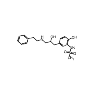 CS(=O)(=O)Nc1cc(CC(O)CNCCc2ccccc2)ccc1O